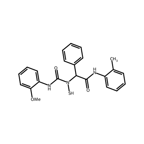 COc1ccccc1NC(=O)N(S)C(C(=O)Nc1ccccc1C)c1ccccc1